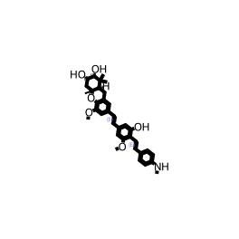 CNc1ccc(/C=C/c2c(O)cc(/C=C/c3cc4c(c(OC)c3)O[C@]3(C)C[C@@H](O)[C@@H](O)C(C)(C)[C@H]3C4)cc2OC)cc1